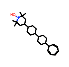 CC1(C)CC(C2CCC(C3CCC(C4C=CC=CC=C4)CC3)CC2)CC(C)(C)N1O